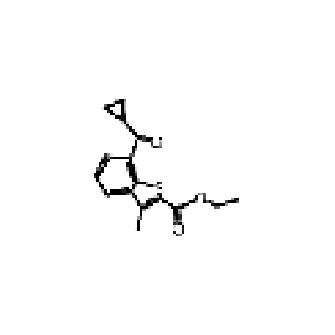 CCOC(=O)c1sc2c(C(=O)C3CC3)cccc2c1C